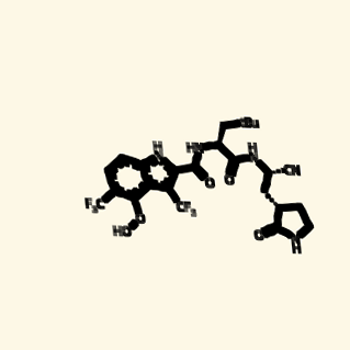 CC(C)(C)C[C@H](NC(=O)c1[nH]c2ccc(C(F)(F)F)c(OO)c2c1C(F)(F)F)C(=O)N[C@H](C#N)C[C@@H]1CCNC1=O